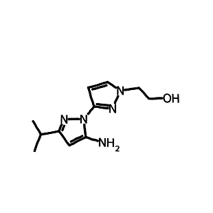 CC(C)c1cc(N)n(-c2ccn(CCO)n2)n1